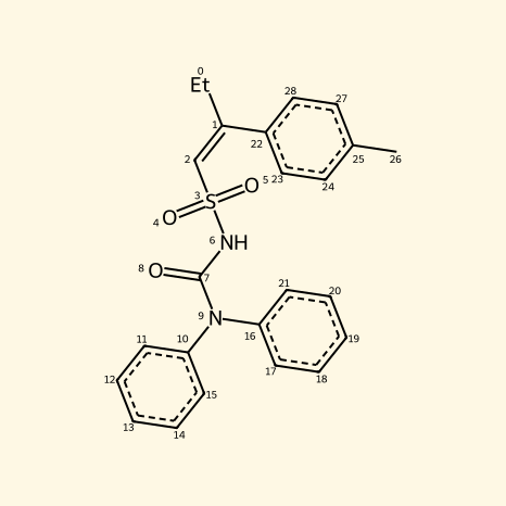 CC/C(=C/S(=O)(=O)NC(=O)N(c1ccccc1)c1ccccc1)c1ccc(C)cc1